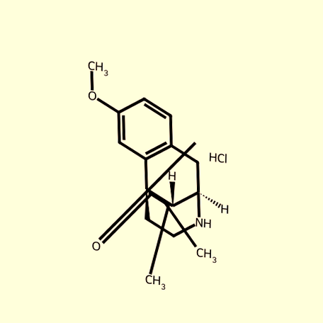 COc1ccc2c(c1)[C@]13CCN[C@H](C2)[C@@H]1C(C)C(C)C(=O)C3.Cl